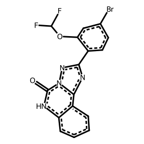 O=c1[nH]c2ccccc2c2nc(-c3ccc(Br)cc3OC(F)F)nn12